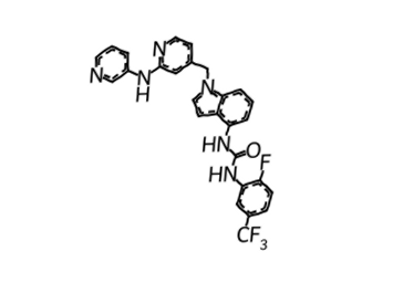 O=C(Nc1cc(C(F)(F)F)ccc1F)Nc1cccc2c1ccn2Cc1ccnc(Nc2cccnc2)c1